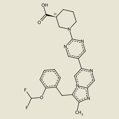 Cc1nc2cnc(-c3cnc(N4CCC[C@H](C(=O)O)C4)nc3)cn2c1Cc1ccccc1OC(F)F